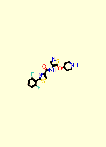 O=C(Nc1cnsc1OC1CCNCC1)c1csc(-c2c(F)cccc2F)n1